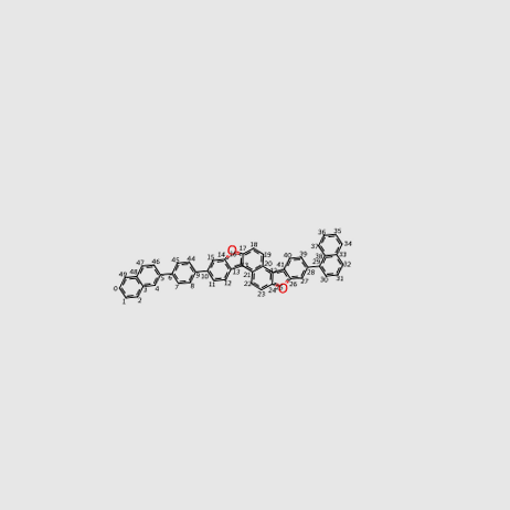 c1ccc2cc(-c3ccc(-c4ccc5c(c4)oc4ccc6c(ccc7oc8cc(-c9cccc%10ccccc9%10)ccc8c76)c45)cc3)ccc2c1